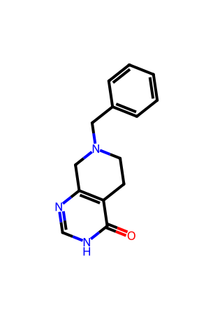 O=c1[nH]cnc2c1CCN(Cc1ccccc1)C2